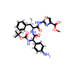 COC(=O)c1csc(NC(=O)[C@@H](NC(=O)C(NC(=O)OC(C)(C)C)c2ccc(N)cc2)[C@@H](C)c2ccccc2)n1